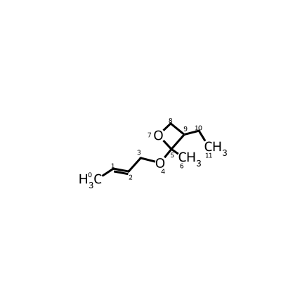 CC=CCOC1(C)OCC1CC